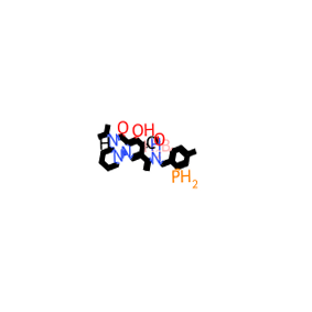 Bc1cc(C)cc(P)c1CNC(=C)C1=CN2C(=C(O)C1=C=O)C(=O)N(C(C)C)[C@@H]1CCCCN12